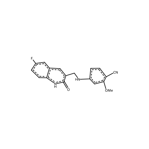 COc1cc(NCc2cc3cc(F)ccc3[nH]c2=O)ccc1C#N